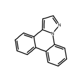 c1ccc2c(c1)c1ccccc1n1nccc21